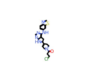 O=C(CCCl)N1CC=C(C2Cc3c(Nc4ccc5ncsc5c4)ncnc3N2)CC1